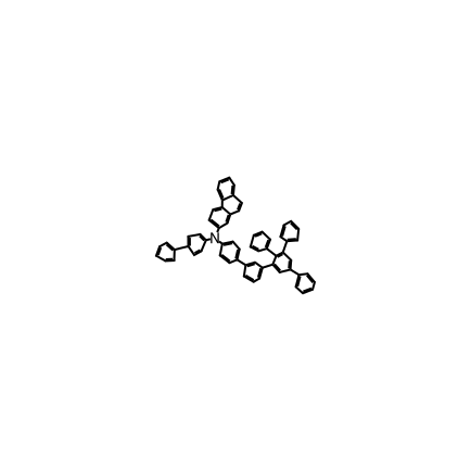 c1ccc(-c2ccc(N(c3ccc(-c4cccc(-c5cc(-c6ccccc6)cc(-c6ccccc6)c5-c5ccccc5)c4)cc3)c3ccc4c(ccc5ccccc54)c3)cc2)cc1